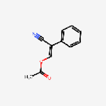 CC(=O)OC=C(C#N)c1ccccc1